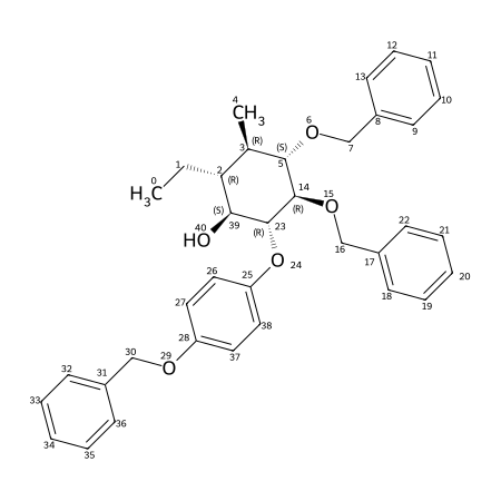 CC[C@@H]1[C@@H](C)[C@H](OCc2ccccc2)[C@@H](OCc2ccccc2)[C@H](Oc2ccc(OCc3ccccc3)cc2)[C@H]1O